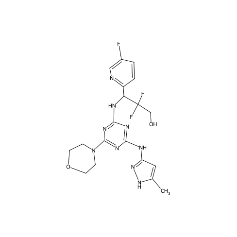 Cc1cc(Nc2nc(NC(c3ccc(F)cn3)C(F)(F)CO)nc(N3CCOCC3)n2)n[nH]1